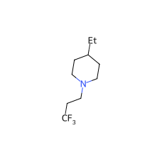 CCC1CCN(CCC(F)(F)F)CC1